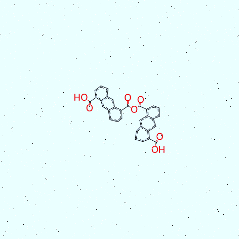 O=C(O)c1cccc2cc3c(C(=O)OC(=O)c4cccc5cc6c(C(=O)O)cccc6cc45)cccc3cc12